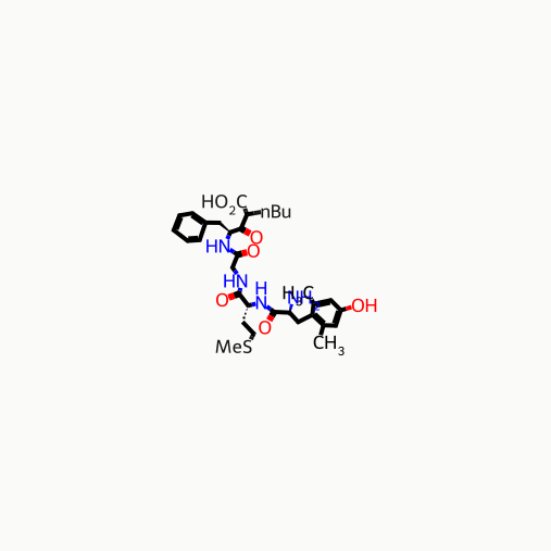 CCCCC(C(=O)O)C(=O)[C@H](Cc1ccccc1)NC(=O)CNC(=O)[C@@H](CCSC)NC(=O)[C@@H](N)Cc1c(C)cc(O)cc1C